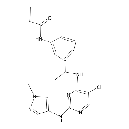 C=CC(=O)Nc1cccc(C(C)Nc2nc(Nc3cnn(C)c3)ncc2Cl)c1